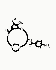 COc1cc2cc(c1OC)OCCCC(OC(=O)c1cnc(N)nc1)CCN1CCCN(CCCOC2=O)CC1